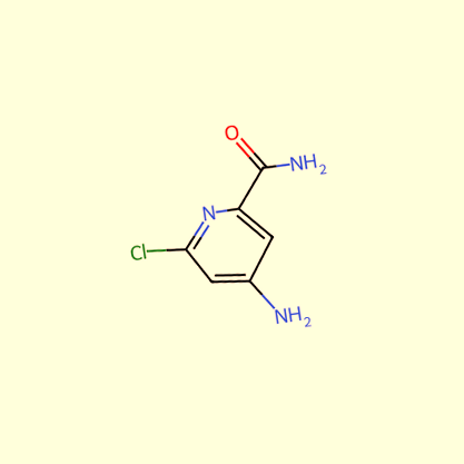 NC(=O)c1cc(N)cc(Cl)n1